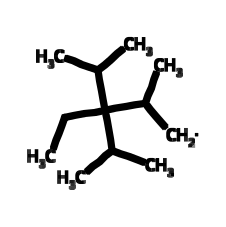 [CH2]C(C)C(CC)(C(C)C)C(C)C